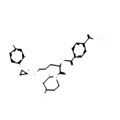 COC(=O)c1ccc(C(=O)NC(CCCN[C@@H]2C[C@H]2c2ccc(F)cc2)C(=O)N2CCC(O)CC2)cc1